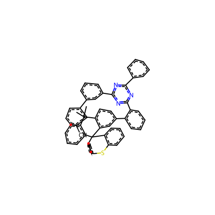 CC1(C)c2ccccc2C2(c3ccccc3Sc3ccccc32)c2cc(-c3ccccc3-c3nc(-c4ccccc4)nc(-c4cccc(-c5cccc(C#N)c5)c4)n3)ccc21